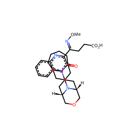 CON=C(CCC(=O)O)c1nc2ccccc2n(C2C[C@H]3COC[C@@H](C2)N3C2CC3CCCCC(C3)C2)c1=O